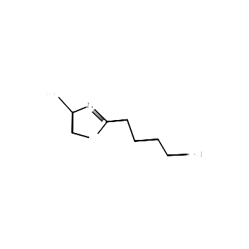 CC(C)C1COC(CCCCO)=N1